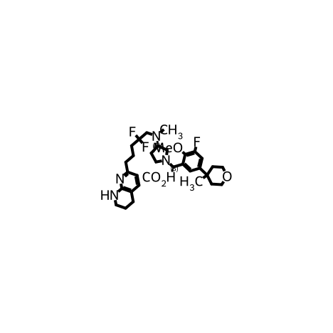 COc1c(F)cc(C2(C)CCOCC2)cc1[C@@H](C(=O)O)N1CC[C@@H](N(C)CC(F)(F)CCCc2ccc3c(n2)NCCC3)C1